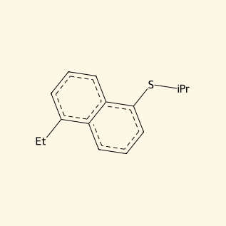 CCc1cccc2c(SC(C)C)cccc12